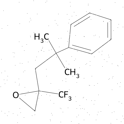 CC(C)(CC1(C(F)(F)F)CO1)c1ccccc1